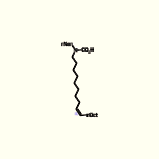 CCCCCCCC/C=C\CCCCCCCCN(CCCCCCCCC)C(=O)O